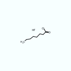 CCCCCCCC(=O)Cl.F